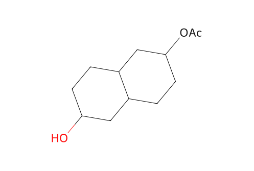 CC(=O)OC1CCC2CC(O)CCC2C1